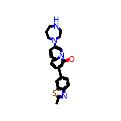 Cc1nc2ccc(C3=C\C(=O)N4C=C(N5CCCNCC5)C=C\C4=C/C=C/3)cc2s1